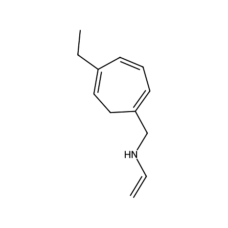 C=CNCC1=CC=CC(CC)=CC1